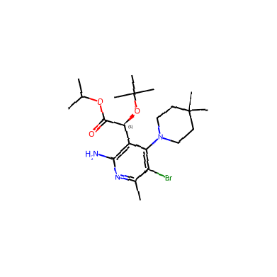 Cc1nc(N)c([C@H](OC(C)(C)C)C(=O)OC(C)C)c(N2CCC(C)(C)CC2)c1Br